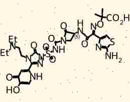 CCN(CC)CCn1c(-c2cc(=O)c(O)c[nH]2)nn(S(=O)(=O)NC(=O)N2C[C@H](NC(=O)C(=NOC(C)(C)C(=O)O)c3csc(N)n3)C2=O)c1=O